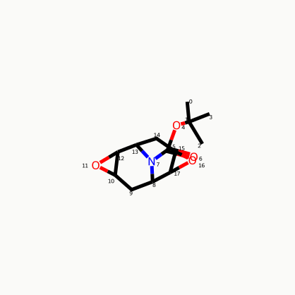 CC(C)(C)OC(=O)N1C2CC3OC3C1CC1OC12